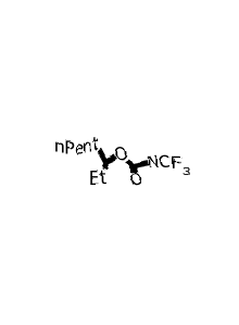 CCCCCC(CC)OC(=O)NC(F)(F)F